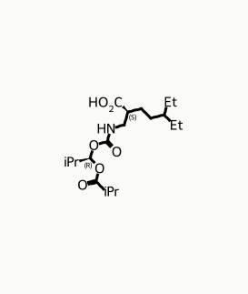 CCC(CC)CC[C@@H](CNC(=O)O[C@@H](OC(=O)C(C)C)C(C)C)C(=O)O